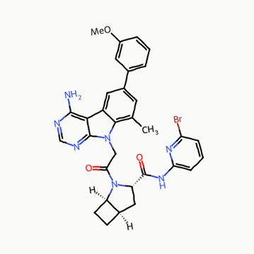 COc1cccc(-c2cc(C)c3c(c2)c2c(N)ncnc2n3CC(=O)N2[C@@H]3CC[C@@H]3C[C@H]2C(=O)Nc2cccc(Br)n2)c1